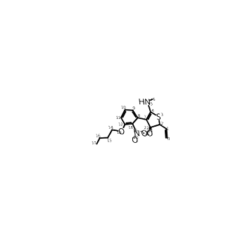 C=CC1SC(NC)=C(c2cccc(OCCCC)c2[N+](=O)[O-])C1=O